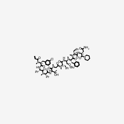 C=CC(=O)N(C)[C@@H](Cc1cccc(Cl)c1)C(=O)N[C@H](C(=O)N(C)[C@H](C(=O)N[C@H](C(=O)N(C)CC(=O)N(C)[C@@H](CC(C)C)C(=O)NC(COC(C)(C)C)N(C)[C@@H](Cc1ccccc1)C(=O)N(C)[C@@H](CC(C)C)C(=O)N[C@@H](CC(N)=O)C(=O)N1CCCCC1)[C@@H](C)O)C(C)C)C(C)C